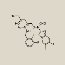 CC(=O)N(NCc1cccc(F)c1Cl)[C@H](CON(C=O)c1nc2cc(F)c(F)cc2s1)C[C@@H](O)CO